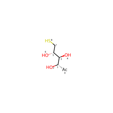 CC(=O)[C@H](O)[C@H](O)[C@H](O)CS